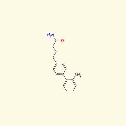 Cc1ccccc1-c1ccc(CCCC(N)=O)cc1